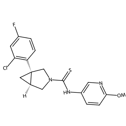 COc1ccc(NC(=S)N2C[C@H]3C[C@@]3(c3ccc(F)cc3Cl)C2)cn1